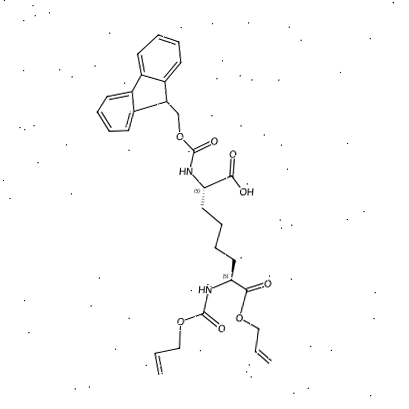 C=CCOC(=O)N[C@@H](CCCC[C@H](NC(=O)OCC1c2ccccc2-c2ccccc21)C(=O)O)C(=O)OCC=C